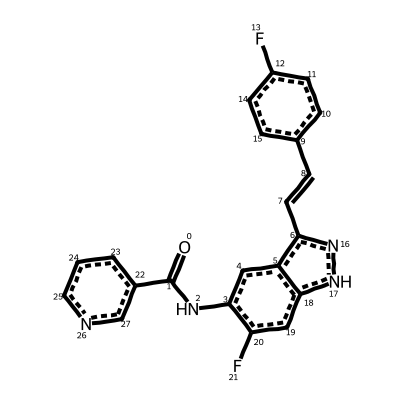 O=C(Nc1cc2c(C=Cc3ccc(F)cc3)n[nH]c2cc1F)c1cccnc1